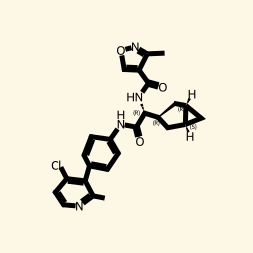 Cc1nocc1C(=O)N[C@@H](C(=O)Nc1ccc(-c2c(Cl)ccnc2C)cc1)[C@H]1C[C@H]2C[C@H]2C1